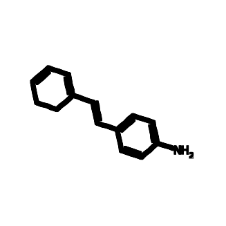 Nc1ccc(/C=C/C2=CC=CCC2)cc1